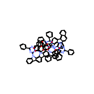 c1ccc(-c2nc(-c3ccccc3)nc(-n3c4ccccc4c4ccc5c6ccccc6n(-c6ccc(-c7ccccc7-c7cccc(-n8c9ccc(-c%10cccc(-c%11nc(-c%12ccccc%12)nc(-n%12c%13ccc%14ccccc%14c%13c%13ccc%14c%15c%16ccccc%16ccc%15n(-c%15ccc%16ccccc%16c%15)c%14c%13%12)n%11)c%10)cc9c9ccc%10c%11ccccc%11n(-c%11nc(-c%12ccccc%12)nc(-c%12ccccc%12)n%11)c%10c98)c7)cc6)c5c43)n2)cc1